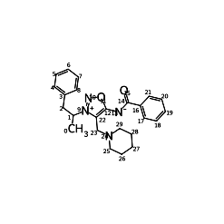 CC(Cc1ccccc1)[n+]1noc([N-]C(=O)c2ccccc2)c1CN1CCCCC1